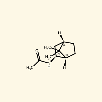 CC(=O)N[C@H]1C[C@@H]2CC[C@H]1C2(C)C